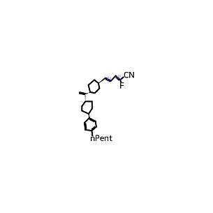 C=C([C@H]1CC[C@H](/C=C/C=C(\F)C#N)CC1)[C@H]1CC[C@H](c2ccc(CCCCC)cc2)CC1